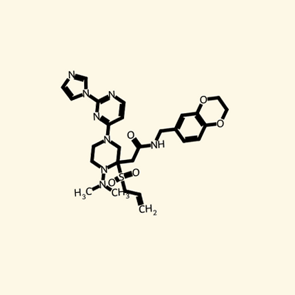 C=CCS(=O)(=O)C1(CC(=O)NCc2ccc3c(c2)OCCO3)CN(c2ccnc(-n3ccnc3)n2)CCN1N(C)C